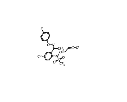 CC(=NOc1ccc(F)cc1)c1cc(Cl)ccc1N(OCC=C=O)S(=O)(=O)C(F)(F)F